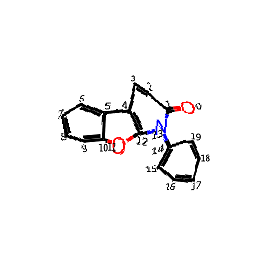 O=c1ccc2c3ccccc3oc2n1-c1ccccc1